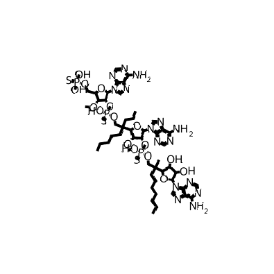 CCCCCCCC(C)(COP(O)(=S)OC1C(OC)C(C(CCC)(CCCCC)COP(O)(=S)OC2C(OC)C(COP(O)(O)=S)OC2n2cnc3c(N)ncnc32)OC1n1cnc2c(N)ncnc21)C1OC(n2cnc3c(N)ncnc32)C(O)C1O